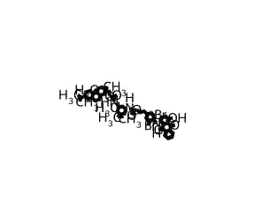 CC(C)C1CCC2C(CCC3CC(C)(COC(=O)NCC4(C)CC(NC(=O)OCCc5cc(Br)c(Nc6ccc(O)c7c6C(=O)c6ccccc6C7=O)c(Br)c5)CC(C)(C)C4)CCC32C)C1